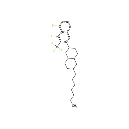 CCCCCCCC1CCC2CC(c3cc4cccc(F)c4c(F)c3C(F)(F)F)CCC2C1